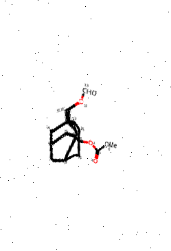 COC(=O)OC12CC3CC(CC(COC=O)(C3)C1)C2